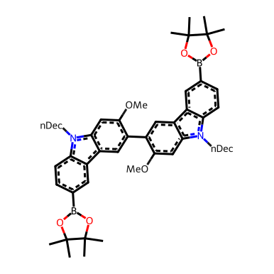 CCCCCCCCCCn1c2ccc(B3OC(C)(C)C(C)(C)O3)cc2c2cc(-c3cc4c5cc(B6OC(C)(C)C(C)(C)O6)ccc5n(CCCCCCCCCC)c4cc3OC)c(OC)cc21